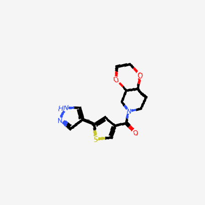 O=C(c1csc(-c2cn[nH]c2)c1)N1CCC2OCCOC2C1